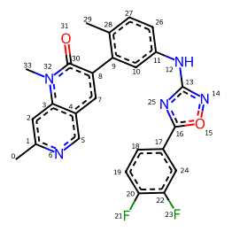 Cc1cc2c(cn1)cc(-c1cc(Nc3noc(-c4ccc(F)c(F)c4)n3)ccc1C)c(=O)n2C